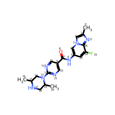 Cc1cn2cc(NC(=O)c3cnc(N4CC(C)NCC4C)nc3)cc(F)c2n1